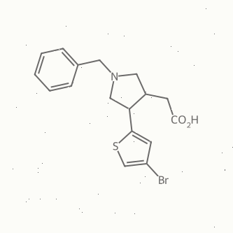 O=C(O)CC1CN(Cc2ccccc2)CC1c1cc(Br)cs1